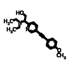 CCN(CC)C(CO)c1ccc(C#Cc2ccc(OC)cc2)cn1